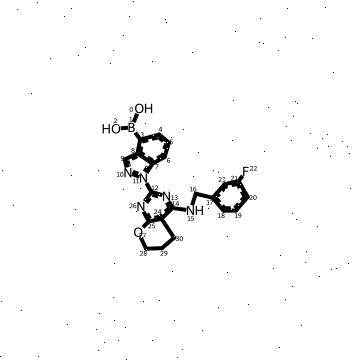 OB(O)c1cccc2c1cnn2-c1nc(NCc2cccc(F)c2)c2c(n1)OCCC2